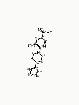 O=C(O)c1cnc(N2CCC(c3nn[nH]n3)CC2)c(Cl)c1